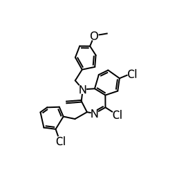 C=C1C(Cc2ccccc2Cl)N=C(Cl)c2cc(Cl)ccc2N1Cc1ccc(OC)cc1